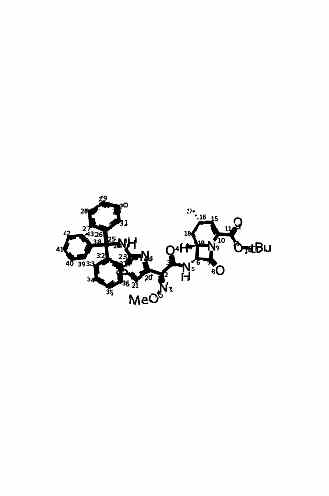 CON=C(C(=O)N[C@H]1C(=O)N2C(C(=O)OC(C)(C)C)=C[C@@H](C)C[C@@H]12)c1csc(NC(c2ccccc2)(c2ccccc2)c2ccccc2)n1